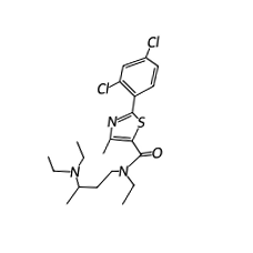 CCN(CCC(C)N(CC)CC)C(=O)c1sc(-c2ccc(Cl)cc2Cl)nc1C